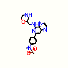 CN(c1ccc(-c2cc3nccnc3c(NCC3CNCCO3)n2)cc1)S(C)(=O)=O